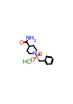 Cl.NC(=O)C1CCN(S(=O)(=O)Cc2ccccc2)CC1